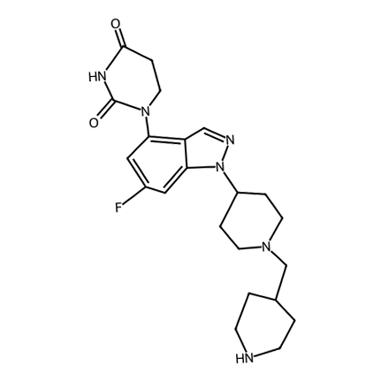 O=C1CCN(c2cc(F)cc3c2cnn3C2CCN(CC3CCNCC3)CC2)C(=O)N1